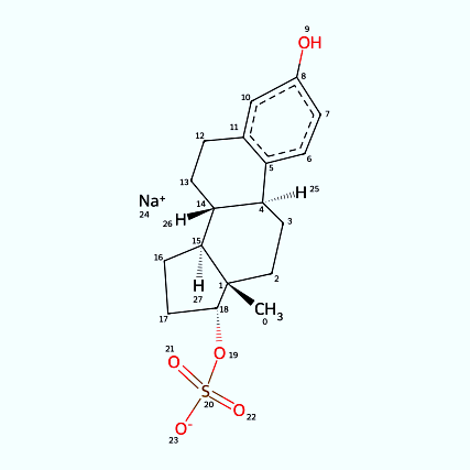 C[C@]12CC[C@@H]3c4ccc(O)cc4CC[C@H]3[C@@H]1CC[C@H]2OS(=O)(=O)[O-].[Na+]